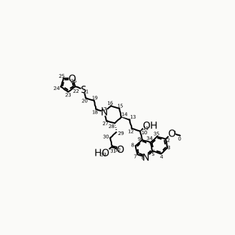 COc1ccc2nccc([C@H](O)CC[C@@H]3CCN(CCCSc4ccco4)C[C@H]3CCC(=O)O)c2c1